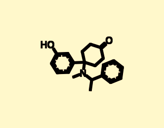 CC(c1ccccc1)N(C)C1(c2cccc(O)c2)CCC(=O)CC1